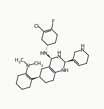 CN(C)C1=C([C@@H]2CCC3=C(C2)[C@@H](N[C@H]2CCC(F)=C(Cl)C2)N[C@@H](C2=CCCNC2)N3)CCCC1